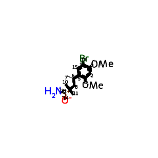 COc1cc(OC)c([C@@H](C)CC(C)(C)[S+](N)[O-])cc1Br